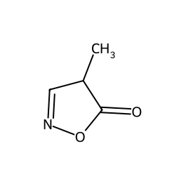 CC1C=NOC1=O